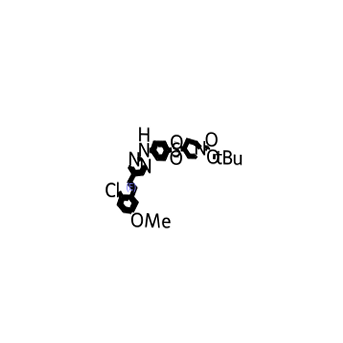 COc1ccc(Cl)c(/C=C/c2cnc(Nc3ccc(S(=O)(=O)C4CCN(C(=O)OC(C)(C)C)CC4)cc3)nc2)c1